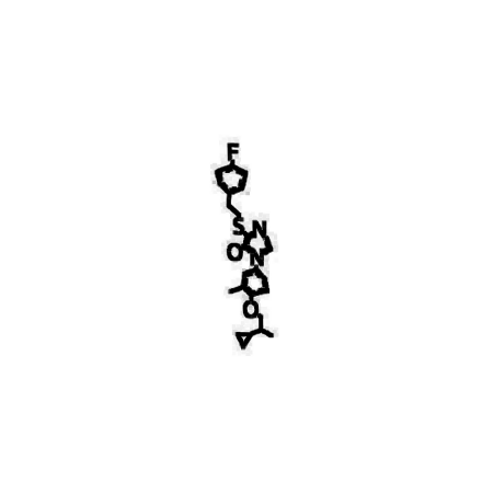 Cc1cc(-n2ccnc(SCCc3ccc(F)cc3)c2=O)ccc1OCC(C)C1CC1